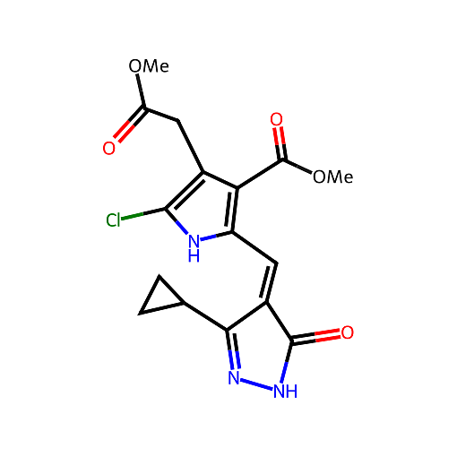 COC(=O)Cc1c(Cl)[nH]c(/C=C2/C(=O)NN=C2C2CC2)c1C(=O)OC